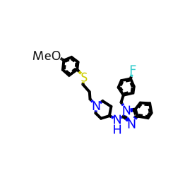 COc1ccc(SCCCN2CCC(Nc3nc4ccccc4n3Cc3ccc(F)cc3)CC2)cc1